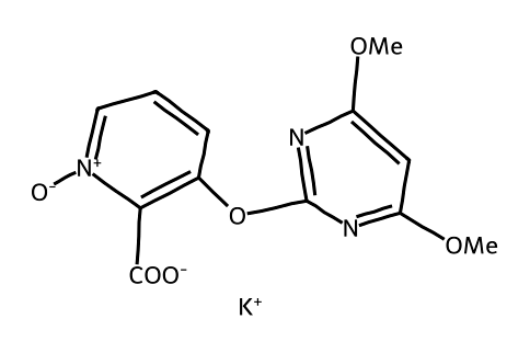 COc1cc(OC)nc(Oc2ccc[n+]([O-])c2C(=O)[O-])n1.[K+]